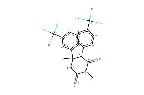 CN1C(=N)N[C@](C)(c2cccc(C(F)(F)F)c2)[C@H](c2ccc(C(F)(F)F)cc2)C1=O